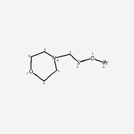 CC(C)OSCN1CCOCC1